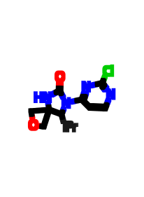 CC(C)C1N(c2ccnc(Cl)n2)C(=O)NC12COC2